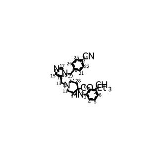 CCOC(=O)C1(Nc2cccc(C)c2)CCN(Cc2cncn2Cc2ccc(C#N)cc2)CC1